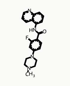 CN1CCN(c2ccc(C(=O)Nc3cccc4ncccc34)c(F)c2)CC1